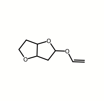 C=COC1CC2OCCC2O1